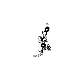 CNCC(=O)N1CN(S(C)(=O)=O)c2cc(-n3c(C)nc(OCc4ccc(F)cc4F)c(Cl)c3=O)ccc21